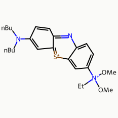 CCCCN(CCCC)c1ccc2nc3ccc([N+](CC)(OC)OC)cc3[s+]c2c1